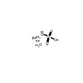 O.[BaH2].[Fe].[O]=[Cr](=[O])([OH])[OH]